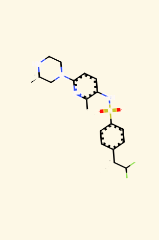 Cc1nc(N2CCN[C@H](C)C2)ccc1NS(=O)(=O)c1ccc([C@@H](C)C(F)F)cc1